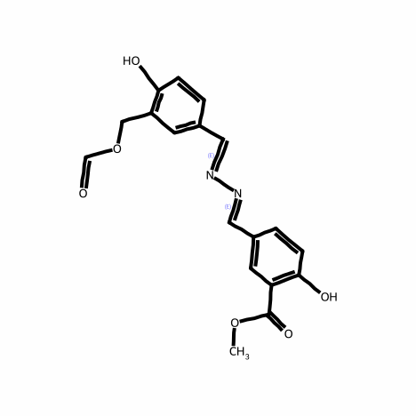 COC(=O)c1cc(/C=N/N=C/c2ccc(O)c(COC=O)c2)ccc1O